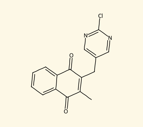 CC1=C(Cc2cnc(Cl)nc2)C(=O)c2ccccc2C1=O